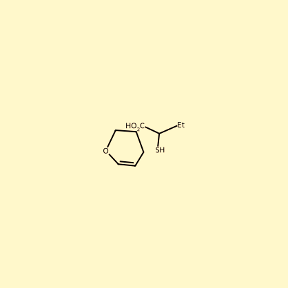 C1=COCCC1.CCC(S)C(=O)O